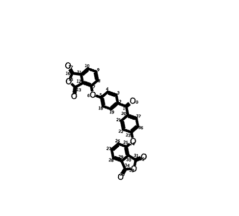 O=C(c1ccc(Oc2cccc3c2C(=O)OC3=O)cc1)c1ccc(Oc2cccc3c2C(=O)OC3=O)cc1